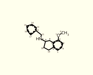 COc1cccc2c1CC(NCc1ccccc1)CC2